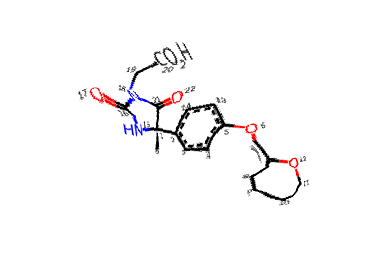 C[C@@]1(c2ccc(OC3CCCCO3)cc2)NC(=O)N(CC(=O)O)C1=O